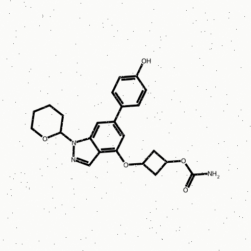 NC(=O)OC1CC(Oc2cc(-c3ccc(O)cc3)cc3c2cnn3C2CCCCO2)C1